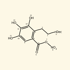 CCCCCCCCCCCCc1c(C(=O)O[N+](=O)[O-])cc(O)c(O)c1O